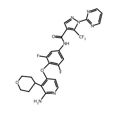 Nc1nccc(Oc2c(F)cc(NC(=O)c3cnn(-c4ncccn4)c3C(F)(F)F)cc2F)c1C1CCOCC1